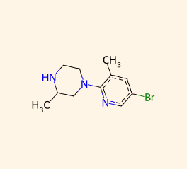 Cc1cc(Br)cnc1N1CCNC(C)C1